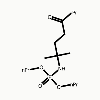 CCCOP(=O)(NC(C)(C)CCC(=O)C(C)C)OCCC